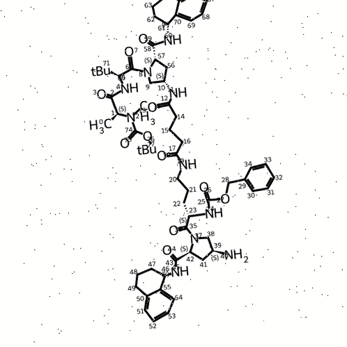 C[C@@H](C(=O)N[C@H](C(=O)N1C[C@@H](NC(=O)CCCC(=O)NCCC[C@H](NC(=O)OCc2ccccc2)C(=O)N2C[C@@H](N)C[C@H]2C(=O)N[C@@H]2CCCc3ccccc32)C[C@H]1C(=O)N[C@@H]1CCCc2ccccc21)C(C)(C)C)N(C)C(=O)OC(C)(C)C